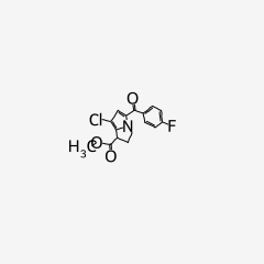 COC(=O)C1CCn2c(C(=O)c3ccc(F)cc3)cc(Cl)c21